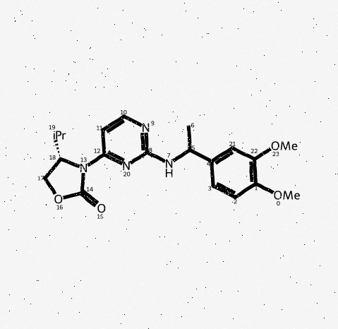 COc1ccc(C(C)Nc2nccc(N3C(=O)OC[C@@H]3C(C)C)n2)cc1OC